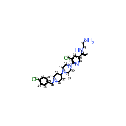 C=C(NCCN)c1cnc(N2CCN(C3CCN(Cc4ccc(Cl)cc4)CC3)[C@@H](C)C2)c(Cl)c1